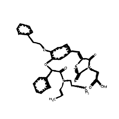 CCCN(CCC)C(=O)C(Oc1cc(C=C2SC(=S)N(CC(=O)O)C2=O)ccc1OCCc1ccccc1)c1ccccc1